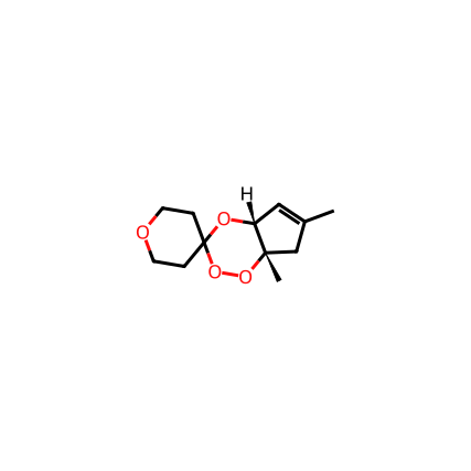 CC1=C[C@H]2OC3(CCOCC3)OO[C@@]2(C)C1